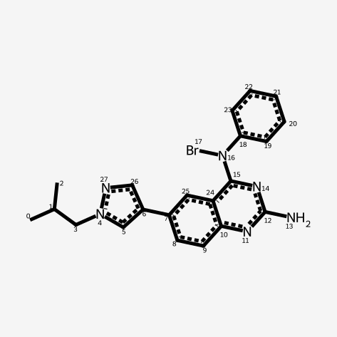 CC(C)Cn1cc(-c2ccc3nc(N)nc(N(Br)c4ccccc4)c3c2)cn1